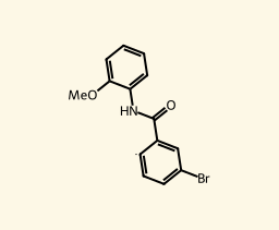 COc1ccccc1NC(=O)c1[c]ccc(Br)c1